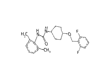 Cc1cccc(C)c1NC(=O)NC1CCC(OCc2c(F)cccc2F)CC1